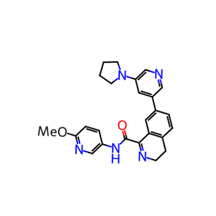 COc1ccc(NC(=O)C2=NCCc3ccc(-c4cncc(N5CCCC5)c4)cc32)cn1